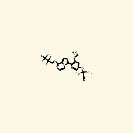 CCSc1cc(OC(C)(C)C#N)cnc1-c1ncc2c(OCC(F)(F)C(F)(F)F)nccn12